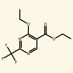 CCOC(=O)c1cnc(C(F)(F)F)nc1OCC